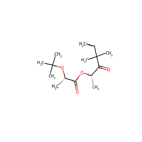 CCC(C)(C)C(=O)[C@H](C)OC(=O)[C@H](C)OC(C)(C)C